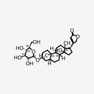 C[C@]12CC[C@H](O[C@@H]3O[C@H](CO)[C@@H](O)[C@H](O)[C@H]3O)C[C@@H]1CC[C@@H]1[C@@H]2CC[C@]2(C)[C@@H](C3=CC(=O)OC3)CC[C@]12O